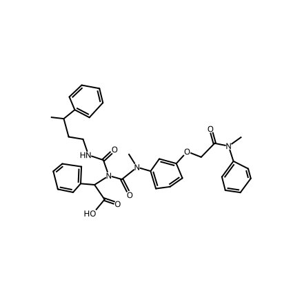 CC(CCNC(=O)N(C(=O)N(C)c1cccc(OCC(=O)N(C)c2ccccc2)c1)C(C(=O)O)c1ccccc1)c1ccccc1